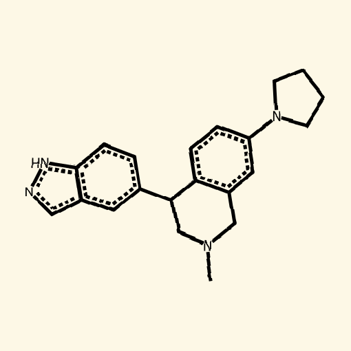 CN1Cc2cc(N3CCCC3)ccc2C(c2ccc3[nH]ncc3c2)C1